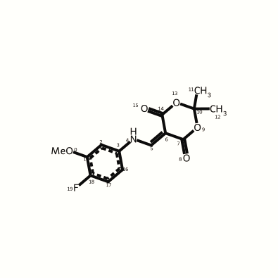 COc1cc(NC=C2C(=O)OC(C)(C)OC2=O)ccc1F